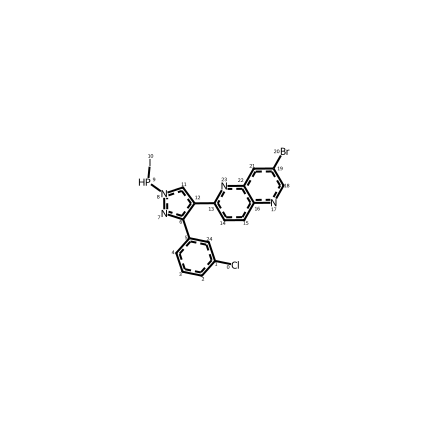 Clc1cccc(-c2nn(PI)cc2-c2ccc3ncc(Br)cc3n2)c1